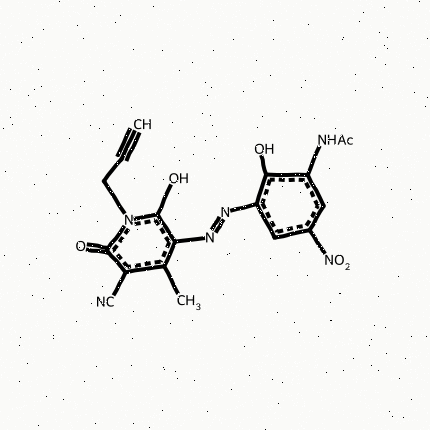 C#CCn1c(O)c(/N=N/c2cc([N+](=O)[O-])cc(NC(C)=O)c2O)c(C)c(C#N)c1=O